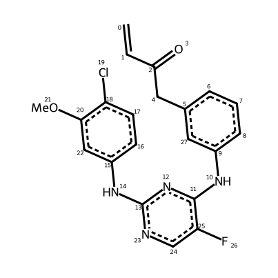 C=CC(=O)Cc1cccc(Nc2nc(Nc3ccc(Cl)c(OC)c3)ncc2F)c1